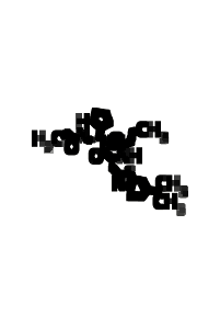 C=CC(=O)NC[C@@H](NC(=O)[C@H](Cc1nc2ccc(C(C)C)cc2s1)NC(=O)CCC)C1CCCC1